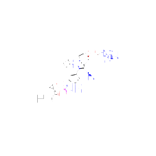 C[C@@H](OC(=O)Nc1ccc(-c2c(C#N)c3cc(OCCn4cncn4)ccc3n2C2CCC2)cc1)C1CC1